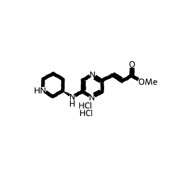 COC(=O)C=Cc1cnc(N[C@@H]2CCCNC2)cn1.Cl.Cl